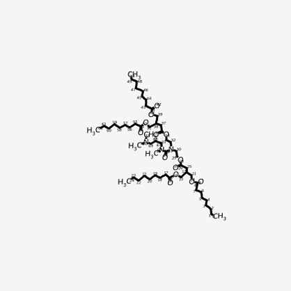 CCCCCCCCC(=O)OCC(COC(=O)CCCCCCCC)CC(=O)OCCN(CCOC(=O)CC(COC(=O)CCCCCCCC)COC(=O)CCCCCCCC)C(=O)N(C)CCCN(C)C